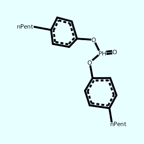 CCCCCc1ccc(O[PH](=O)Oc2ccc(CCCCC)cc2)cc1